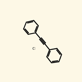 C(#Cc1ccccc1)c1ccccc1.[C]